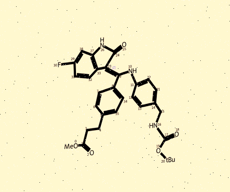 COC(=O)CCc1ccc(/C(Nc2ccc(CNC(=O)OC(C)(C)C)cc2)=C2/C(=O)Nc3cc(F)ccc32)cc1